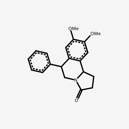 COc1cc2c(cc1OC)C1CCC(=O)N1CC2c1ccccc1